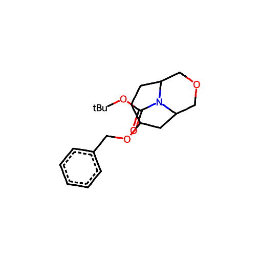 CC(C)(C)OC(=O)N1C2CCC(OCc3ccccc3)CC1COC2